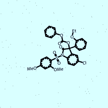 CCOc1ccccc1C1(OC(=O)Oc2ccccc2)C(=O)N(S(=O)(=O)c2ccc(OC)cc2OC)c2ccc(Cl)cc21